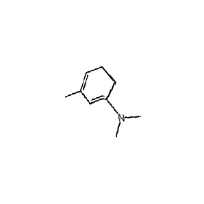 CC1=CCCC(N(C)C)=C1